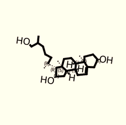 CC(CO)CCC[C@@H](C)[C@H]1[C@@H](O)C[C@H]2[C@@H]3CC=C4C[C@@H](O)CC[C@]4(C)[C@H]3CC[C@]12C